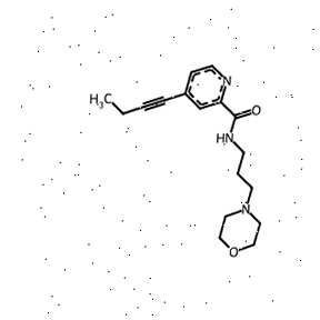 CCC#Cc1ccnc(C(=O)NCCCN2CCOCC2)c1